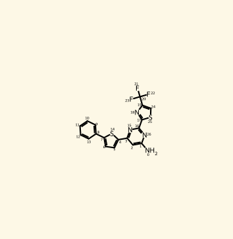 Nc1cc(-c2ccc(-c3ccccc3)s2)nc(-c2nc(C(F)(F)F)cs2)n1